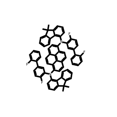 CC1(C)c2ccccc2-c2c(N(c3cc(-c4ccccc4F)ccc3F)c3ccc4ccc5c(N(c6cc(-c7ccccc7F)ccc6F)c6cccc7c6-c6ccccc6C7(C)C)ccc6ccc3c4c65)cccc21